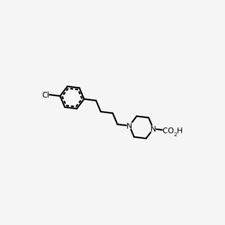 O=C(O)N1CCN(CCCCc2ccc(Cl)cc2)CC1